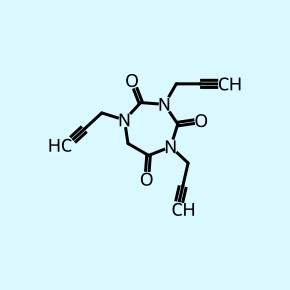 C#CCN1CC(=O)N(CC#C)C(=O)N(CC#C)C1=O